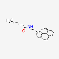 [CH2]CCC[CH]C(=O)NCCc1ccc2ccc3cccc4ccc1c2c34